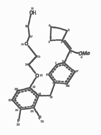 COC(=C1CCC1)c1ccc(Cc2c(OCCOCCO)ccc(F)c2F)cc1